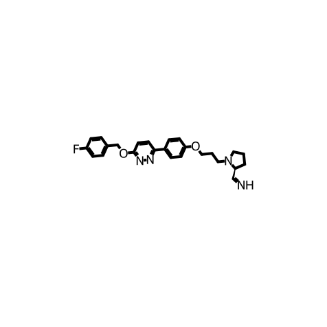 N=C[C@@H]1CCCN1CCCOc1ccc(-c2ccc(OCc3ccc(F)cc3)nn2)cc1